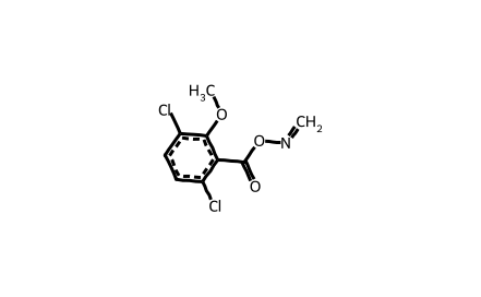 C=NOC(=O)c1c(Cl)ccc(Cl)c1OC